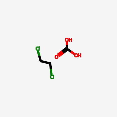 ClCCCl.O=C(O)O